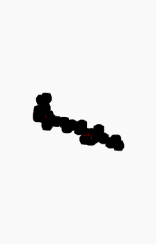 c1cc(-c2ccc(-c3ccc(-c4ccc5c(c4)oc4cc(-c6ccc(N(c7ccc(-c8ccc(-c9cccc%10ccccc9%10)cc8)cc7)c7ccccc7-c7ccc8c(c7)oc7ccccc78)cc6)ccc45)c4ccccc34)cc2)cc(N(c2ccc(-c3ccc4c(c3)oc3ccccc34)cc2)c2ccccc2-c2ccc3c(c2)oc2ccccc23)c1